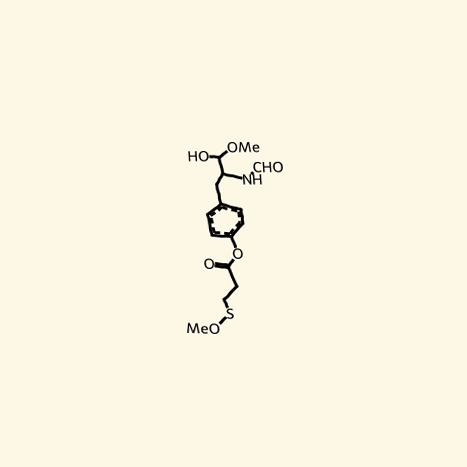 COSCCC(=O)Oc1ccc(CC(NC=O)C(O)OC)cc1